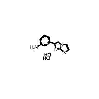 Cl.Cl.Nc1cccc(C2CN3C=CSC3=N2)c1